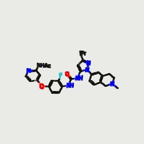 CC(=O)Nc1cc(Oc2ccc(NC(=O)Nc3cc(C(C)C)nn3-c3ccc4c(c3)CCN(C)C4)c(F)c2)ccn1